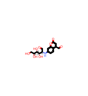 O=Cc1cc(=O)oc2cc(N[C@H](C=O)[C@H](O)[C@@H](O)[C@@H](O)CO)ccc12